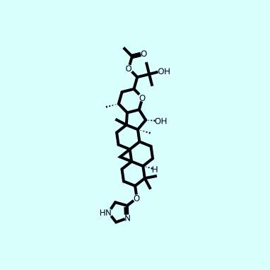 CC(=O)OC(C1C[C@@H](C)C2C(O1)[C@H](O)[C@@]1(C)C3CC[C@H]4C(C)(C)C(OC5=NCNC5)CCC45CC35CCC21C)C(C)(C)O